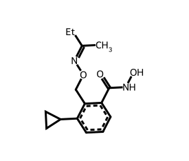 CCC(C)=NOCc1c(C(=O)NO)cccc1C1CC1